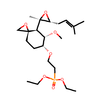 CCOP(=O)(CCO[C@@H]1CC[C@]2(CO2)[C@@H]([C@@]2(C)O[C@@H]2CC=C(C)C)[C@@H]1OC)OCC